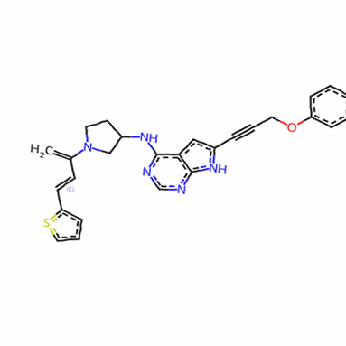 C=C(/C=C/c1cccs1)N1CCC(Nc2ncnc3[nH]c(C#CCOc4ccccc4)cc23)C1